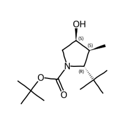 C[C@@H]1[C@H](O)CN(C(=O)OC(C)(C)C)[C@H]1C(C)(C)C